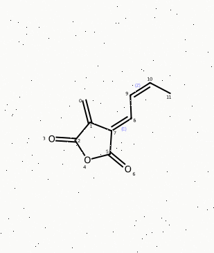 C=C1C(=O)OC(=O)/C1=C/C=C\C